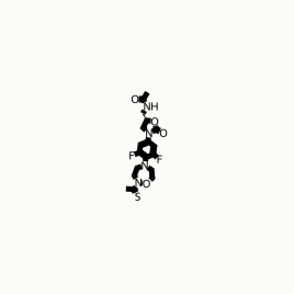 CC(=O)NC[C@H]1CN(c2cc(F)c(N3CCON(C(C)=S)CC3)c(F)c2)C(=O)O1